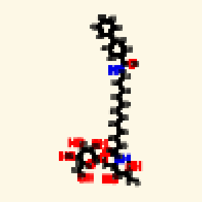 CC[C@@H](O)[C@@H](O)[C@H](CO[C@H]1OC(CO)[C@H](O)C(O)C1O)NC(=O)CCCCCCCCCCCNC(=O)c1ccc(-c2ccccc2)cc1